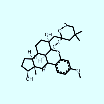 COc1ccc2c(c1)S[C@]13CCC4(CC(C)(C)COO4)C[C@]1(O)CC[C@@H]1[C@@H]3[C@@H]2C[C@]2(C)[C@@H](O)CC[C@@H]12